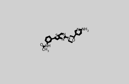 CC(=O)Nc1cccc(-c2cc3nc(N4CCOC(c5ccc(N)nc5)C4)ncc3s2)c1